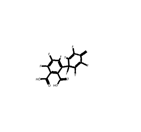 C=C1C(F)=C(F)C(F)(c2c(F)c(F)c(F)c(C(=O)O)c2C(=O)O)C(F)=C1F